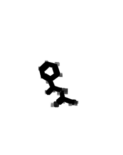 CC(C)C(=O)NC(C)c1ccccc1